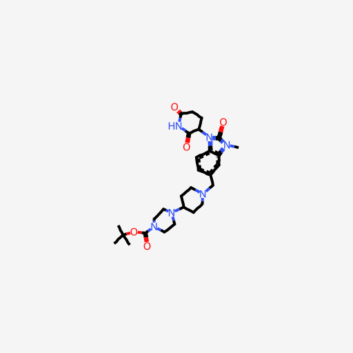 Cn1c(=O)n(C2CCC(=O)NC2=O)c2ccc(CN3CCC(N4CCN(C(=O)OC(C)(C)C)CC4)CC3)cc21